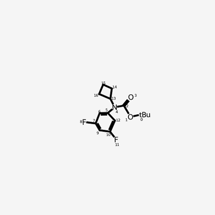 CC(C)(C)OC(=O)N(c1cc(F)cc(F)c1)C1CCC1